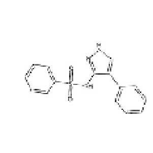 O=S(=O)(Nc1n[nH]cc1-c1ccccc1)c1ccccc1